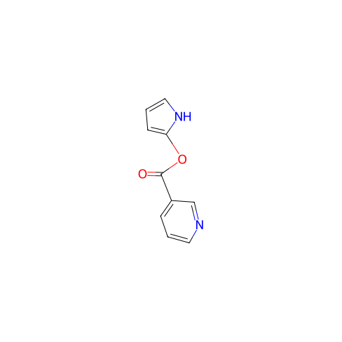 O=C(Oc1ccc[nH]1)c1cccnc1